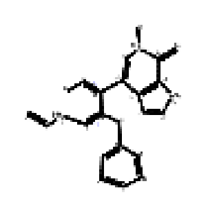 C=CN/C=C(Cc1ccccc1)\C(=C/C)C1=CN(C)C(=C)c2[nH]ccc21